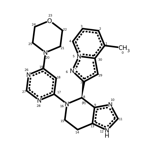 Cc1cccn2nc([C@H]3c4nc[nH]c4CCN3c3cc(N4CCOCC4)ncn3)cc12